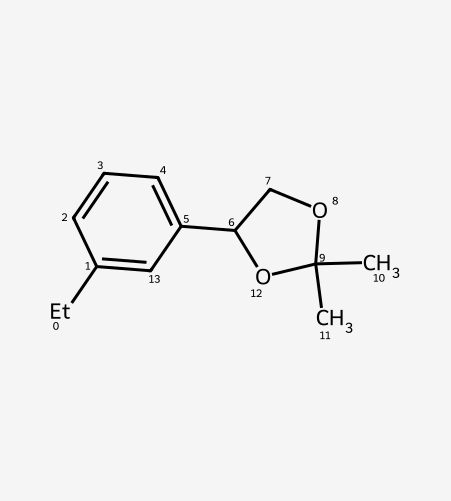 CCc1cccc(C2COC(C)(C)O2)c1